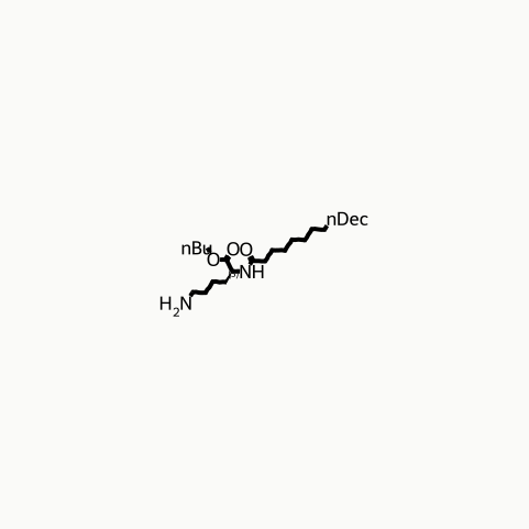 CCCCCCCCCCCCCCCCCC(=O)N[C@@H](CCCCN)C(=O)OCCCC